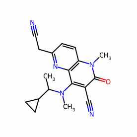 CC(C1CC1)N(C)c1c(C#N)c(=O)n(C)c2ccc(CC#N)nc12